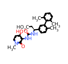 Cc1ccc([C@H](CC(=O)O)NC(=O)Nc2c(O)ccn(C)c2=O)cc1-c1c(C)cccc1C